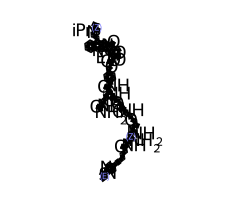 C/C=S(/C)N(CCc1c2c(nc3ccccc13)-c1cc3c(c(=O)n1C2)COC(=O)[C@@]3(CC)OC(=O)OCc1ccc(NC(=O)[C@H](CCCNC(N)=O)NC(=O)COCC(=O)NCCOCC(C)CN(N)/C=C(\N)CNC(=O)CCCC#Cc2cnc(/S(C)=C/C)nc2)cc1)C(C)C